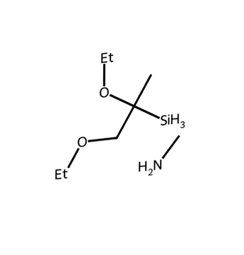 CCOCC(C)([SiH3])OCC.CN